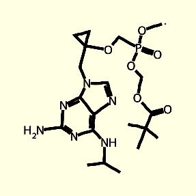 [CH2]OP(=O)(COC1(Cn2cnc3c(NC(C)C)nc(N)nc32)CC1)OCOC(=O)C(C)(C)C